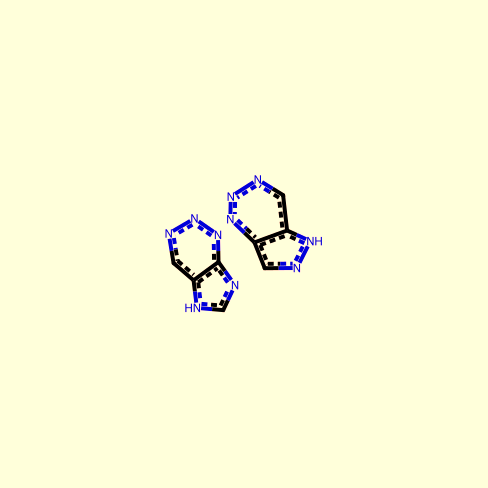 c1n[nH]c2cnnnc12.c1nc2nnncc2[nH]1